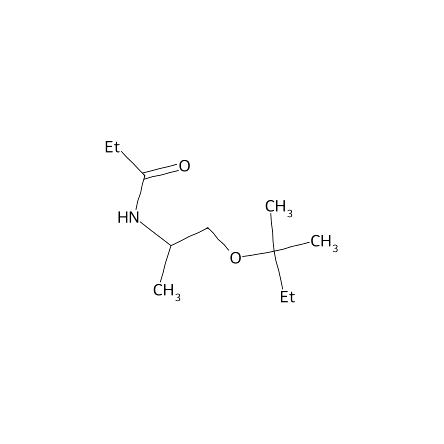 CCC(=O)NC(C)COC(C)(C)CC